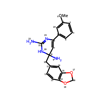 COc1cccc(C2=CC(N)(Cc3ccc4c(c3)OCO4)NC(N)=N2)c1